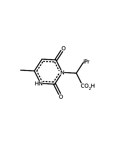 Cc1cc(=O)n(C(C(=O)O)C(C)C)c(=O)[nH]1